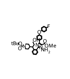 COC(=O)c1c(-c2ccc(Oc3ccc(F)cc3)cc2)nc(-c2ccccc2C(CCO)C2CCN(C(=O)OC(C)(C)C)CC2)n1N